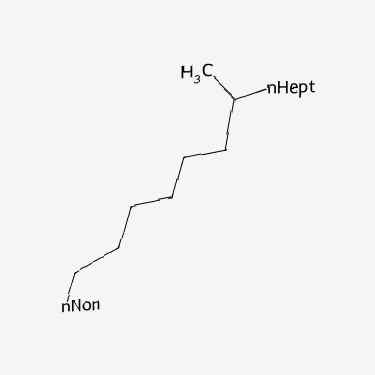 CCCCCCCCCCCCCCCC(C)CCCCCCC